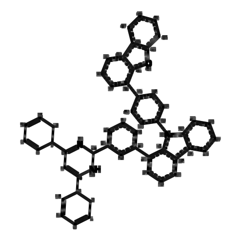 C1=CCC(C2=CC(C3C=CC=CC3)=NC(c3cccc(-c4cccc5c6ccccc6n(-c6ccc(-c7cccc8c7oc7ccccc78)cc6)c45)c3)N2)C=C1